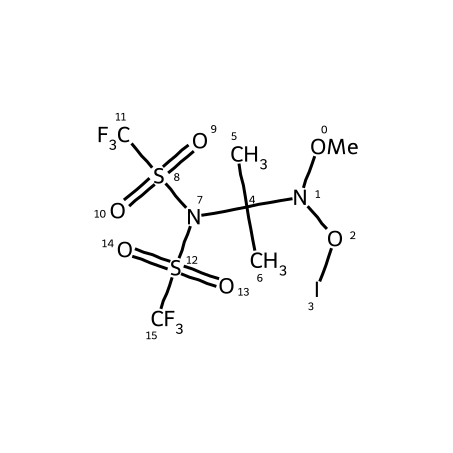 CON(OI)C(C)(C)N(S(=O)(=O)C(F)(F)F)S(=O)(=O)C(F)(F)F